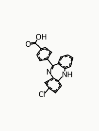 O=C(O)c1ccc(C2=Nc3cc(Cl)ccc3Nc3ccccc32)cc1